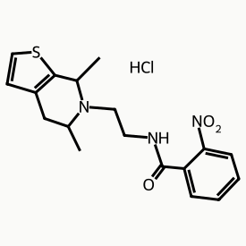 CC1Cc2ccsc2C(C)N1CCNC(=O)c1ccccc1[N+](=O)[O-].Cl